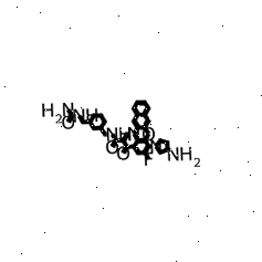 NC(=O)NCC1CCCC(CNC(=O)c2cn3c4c(c(N5CCC(N)C5)c(F)cc4c2=O)Oc2cc4ccccc4cc2-3)C1